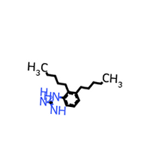 CCCCCc1cccc(NC(=N)N)c1CCCCC